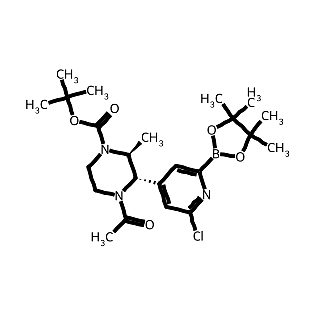 CC(=O)N1CCN(C(=O)OC(C)(C)C)[C@@H](C)[C@@H]1c1cc(Cl)nc(B2OC(C)(C)C(C)(C)O2)c1